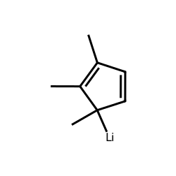 [Li][C]1(C)C=CC(C)=C1C